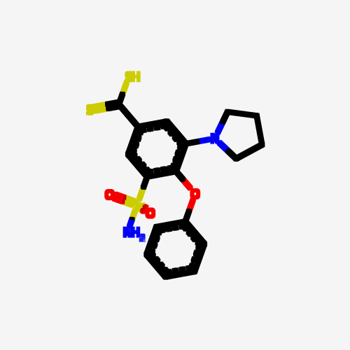 NS(=O)(=O)c1cc(C(=S)S)cc(N2CCCC2)c1Oc1ccccc1